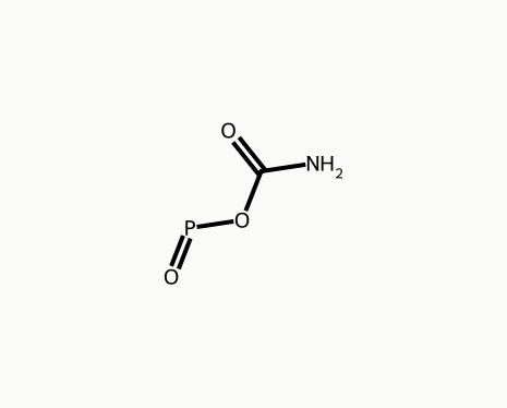 NC(=O)OP=O